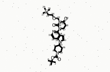 CC(C)(C)OC(=O)N1CCC(n2ccc3c(N4CCC(=O)N(COCC[Si](C)(C)C)C4=O)nccc32)CC1